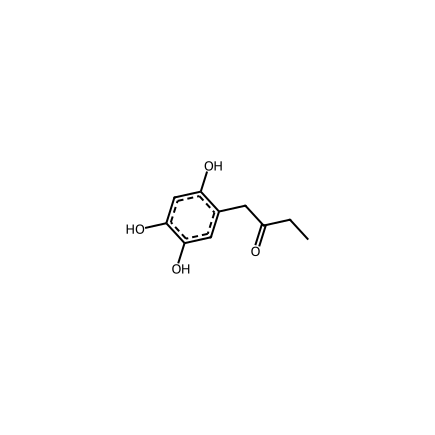 CCC(=O)Cc1cc(O)c(O)cc1O